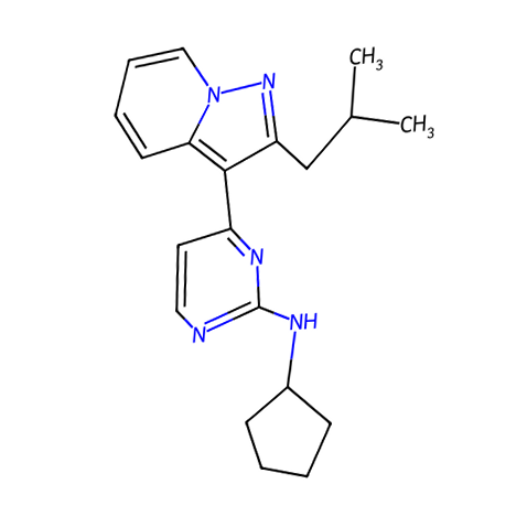 CC(C)Cc1nn2ccccc2c1-c1ccnc(NC2CCCC2)n1